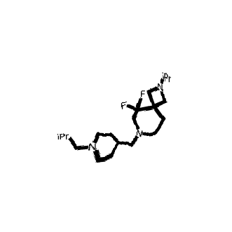 CC(C)CN1CCC(CN2CCC3(CN(C(C)C)C3)C(F)(F)C2)CC1